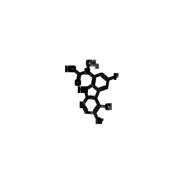 CN(C(=O)O)c1cc(F)cc2c1[nH]c1ncc(Br)c(Cl)c12